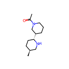 CC(=O)N1CCCC([C@H]2CC[C@H](C)CN2)C1